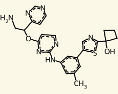 Cc1cc(Nc2nccc(OC(CN)c3ccncn3)n2)cc(-c2cnc(C3(O)CCC3)s2)c1